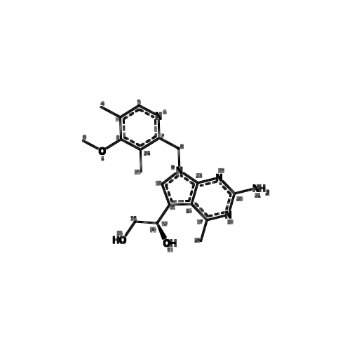 COc1c(C)cnc(Cn2cc([C@@H](O)CO)c3c(C)nc(N)nc32)c1C